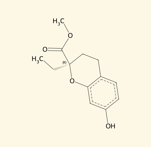 CC[C@]1(C(=O)OC)CCc2ccc(O)cc2O1